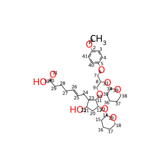 COc1ccc(OCC(COC2C(OC3CCCCO3)CC(O)C2CC=CCCCC(=O)O)OC2CCCCO2)cc1